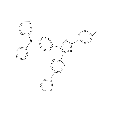 Cc1ccc(-c2nc(-c3ccc(-c4ccccc4)cc3)n(-c3ccc(N(c4ccccc4)c4ccccc4)cc3)n2)cc1